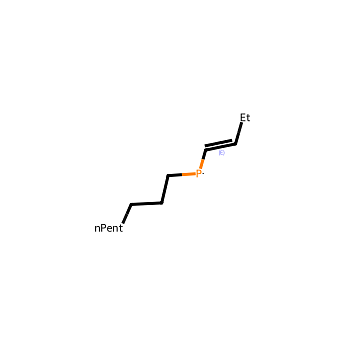 CC/C=C/[P]CCCCCCCC